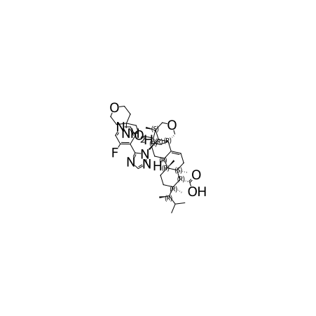 CC(C)[C@@H](C)[C@@]1(C)CC[C@]2(C)[C@H]3CC[C@@H]4[C@@]5(COC[C@@]4(C)C(OCC4(N)CCOCC4)[C@H](n4ncnc4-c4ccncc4F)C5)C3=CC[C@@]2(C)[C@@H]1C(=O)O